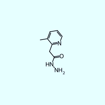 Cc1cccnc1CC(=O)NN